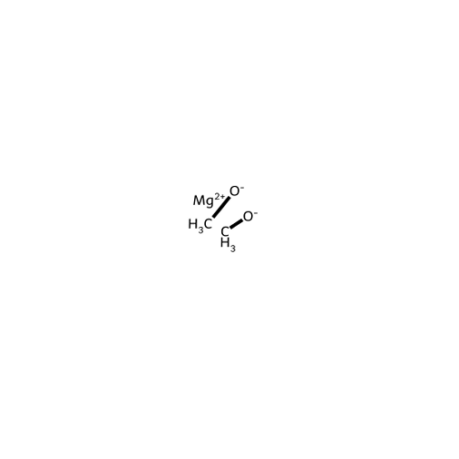 C[O-].C[O-].[Mg+2]